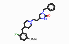 COc1ccc(Br)c(CC2CCN(CCC3CN(Cc4ccccc4)C(=O)N3)CC2)c1